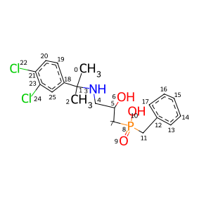 CC(C)(NCC(O)CP(=O)(O)Cc1ccccc1)c1ccc(Cl)c(Cl)c1